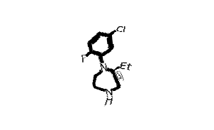 CC[C@H]1CNCCN1c1cc(Cl)ccc1F